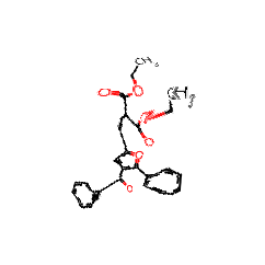 CCOC(=O)C(Cc1cc(C(=O)c2ccccc2)c(-c2ccccc2)o1)C(=O)OCC